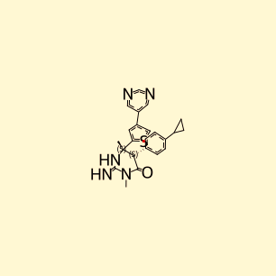 CN1C(=N)N[C@](C)(c2cc(-c3cncnc3)cs2)[C@H](c2ccc(C3CC3)cc2)C1=O